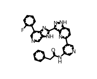 O=C(Cc1ccccc1)Nc1cncc(-c2ccc3[nH]nc(-c4nc5c(-c6ccccc6F)cncc5[nH]4)c3n2)c1